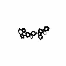 CC1CCc2cccc(-c3ccc4c5c(oc4c3)C=C(n3c4c(c6c7oc8ccccc8c7ccc63)C=CCC4)CC5)c2-c2ccccc21